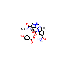 CCCNC(=O)C1CN2N=CN=C(N(C(=O)OCOC(=O)c3ccc(O)cc3)c3cc(C(=O)NCC)ccc3C)C2=C1C